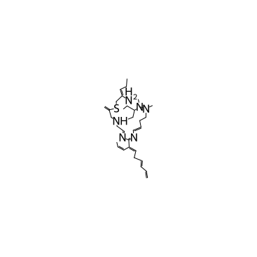 C=C/C=C/C/C=C(\C=C/C)C(=N/C=CCCN(C)N(C)C(CC)CC)/N=C/CNCC(=C)SCC(N)=CCC